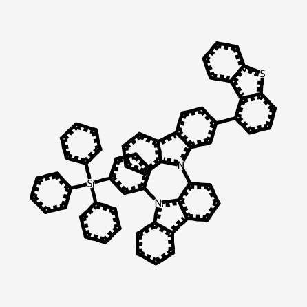 c1ccc([Si](c2ccccc2)(c2ccccc2)c2cccc(-n3c4ccccc4c4cccc(-n5c6ccccc6c6ccc(-c7cccc8sc9ccccc9c78)cc65)c43)c2)cc1